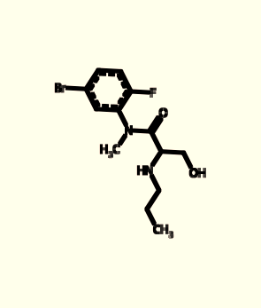 CCCNC(CO)C(=O)N(C)c1cc(Br)ccc1F